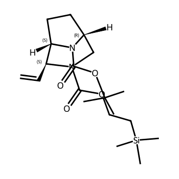 C=C[C@H]1[C@@H]2CC[C@H](CN1C(=O)OCC[Si](C)(C)C)N2C(=O)OC(C)(C)C